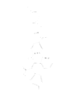 CC(C)N1CCN(CC(=O)N(C)c2ccc(N/C(=C3\C(=O)Nc4cc(Cl)ccc43)c3ccccc3)cc2)CC1